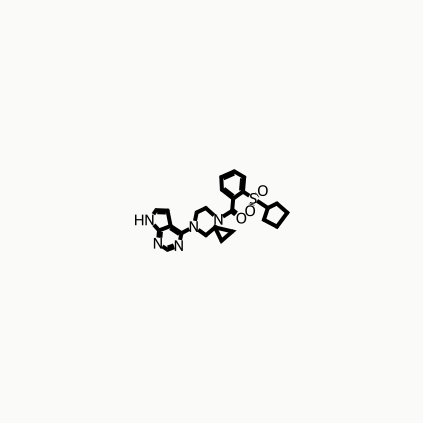 O=C(c1ccccc1S(=O)(=O)C1CCCC1)N1CCN(c2ncnc3[nH]ccc23)CC12CC2